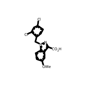 COc1ccc2c(c1)c(C(=O)O)nn2Cc1ccc(Cl)cc1Cl